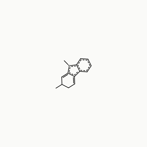 CC1C=c2c(c3ccccc3n2C)=CC1